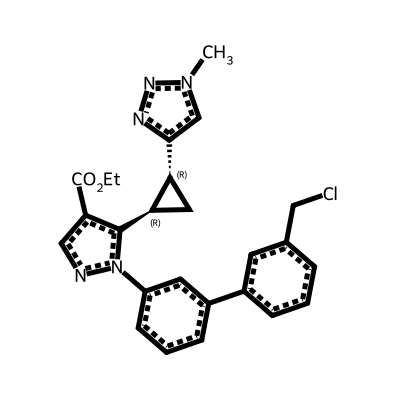 CCOC(=O)c1cnn(-c2cccc(-c3cccc(CCl)c3)c2)c1[C@@H]1C[C@H]1c1cn(C)nn1